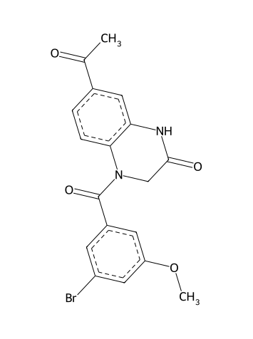 COc1cc(Br)cc(C(=O)N2CC(=O)Nc3cc(C(C)=O)ccc32)c1